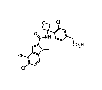 Cn1c(C(=O)NC2(c3ccc(CC(=O)O)cc3Cl)COC2)cc2c(Cl)c(Cl)ccc21